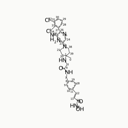 CC1(NCC(=O)NCc2ccc(/C=C/C(=O)NO)cc2)CCN(c2cnc(-c3cccc(Cl)c3Cl)c(N)n2)CC1